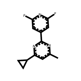 Cc1cc(C2CC2)nc(-c2cc(F)nc(F)c2)n1